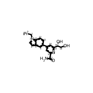 CC(C)Cn1ccc2cc(-c3cc(C(N)=O)nc([C@H](O)CO)c3)ccc21